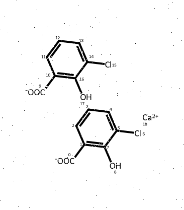 O=C([O-])c1cccc(Cl)c1O.O=C([O-])c1cccc(Cl)c1O.[Ca+2]